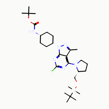 Cc1nn([C@H]2CC[C@H](NC(=O)OC(C)(C)C)CC2)c2nc(Cl)nc(N3CCC[C@H]3CO[Si](C)(C)C(C)(C)C)c12